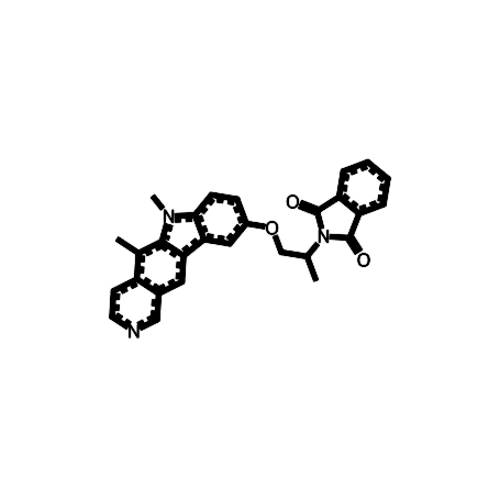 Cc1c2ccncc2cc2c3cc(OCC(C)N4C(=O)c5ccccc5C4=O)ccc3n(C)c12